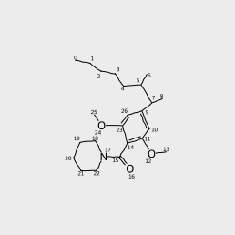 CCCCCC(C)C(C)c1cc(OC)c(C(=O)N2CCCCC2)c(OC)c1